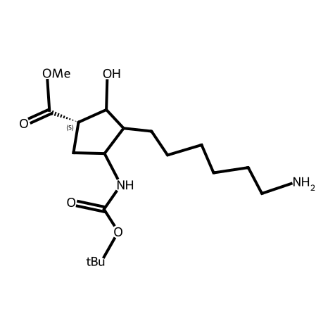 COC(=O)[C@H]1CC(NC(=O)OC(C)(C)C)C(CCCCCCN)C1O